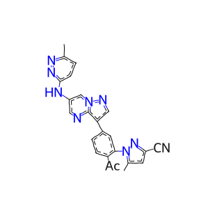 CC(=O)c1ccc(-c2cnn3cc(Nc4ccc(C)nn4)cnc23)cc1-n1nc(C#N)cc1C